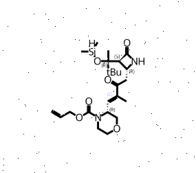 C=CCOC(=O)N1CCOC[C@H]1/C=C(\C)C(=O)C[C@H]1NC(=O)[C@@H]1[C@@](C)(O[SiH](C)C)C(C)(C)C